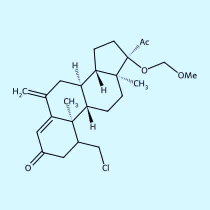 C=C1C[C@H]2[C@@H]3CC[C@](OCOC)(C(C)=O)[C@@]3(C)CC[C@@H]2[C@]2(C)C1=CC(=O)CC2CCl